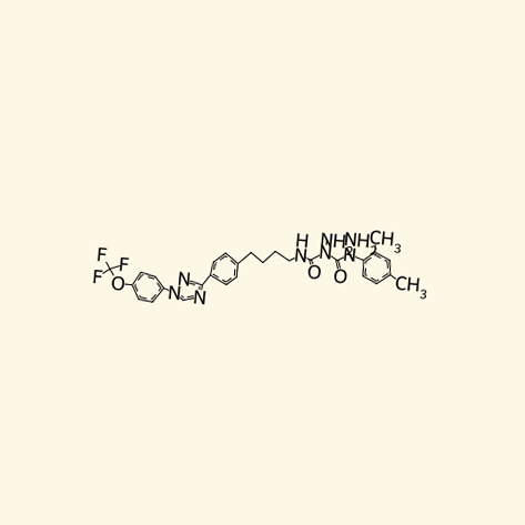 Cc1ccc(N(N)C(=O)N(N)C(=O)NCCCCc2ccc(-c3ncn(-c4ccc(OC(F)(F)F)cc4)n3)cc2)c(C)c1